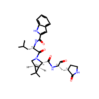 CC(C)C[C@H](NC(=O)c1cc2ccccc2[nH]1)C(=O)N1C[C@H]2[C@@H]([C@H]1C(=O)N[C@H](C=O)C[C@@H]1CCNC1=O)C2(C)C